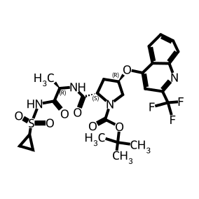 C[C@@H](NC(=O)[C@@H]1C[C@@H](Oc2cc(C(F)(F)F)nc3ccccc23)CN1C(=O)OC(C)(C)C)C(=O)NS(=O)(=O)C1CC1